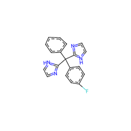 Fc1ccc(C(c2ccccc2)(c2ncc[nH]2)c2ncc[nH]2)cc1